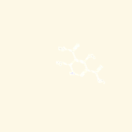 CC(=O)C1=CNC(C)C(C(C)=O)=C1C